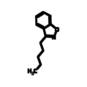 CCCCCc1noc2ccccc12